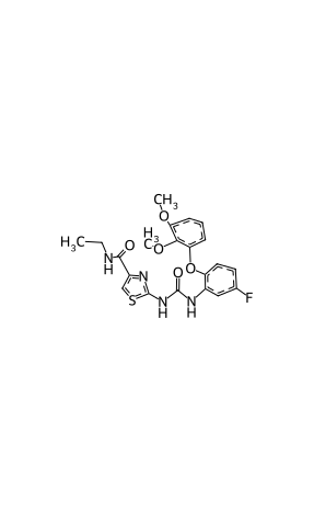 CCNC(=O)c1csc(NC(=O)Nc2cc(F)ccc2Oc2cccc(OC)c2OC)n1